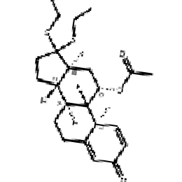 CCSC1(SCC)CC[C@H]2[C@@H]3CCC4=CC(=O)C=C[C@]4(C)C3(F)[C@@H](OC(C)=O)C[C@@]21C